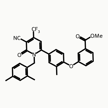 COC(=O)c1cccc(Oc2ccc(-c3cc(C(F)(F)F)c(C#N)c(=O)n3Cc3ccc(C)cc3C)cc2C)c1